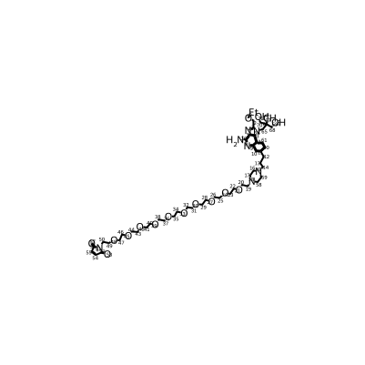 CCOCc1nc2c(N)nc3cc(CCCN4CCN(CCOCCOCCOCCOCCOCCOCCOCCOCCOCCOCCN5C(=O)C=CC5=O)CC4)ccc3c2n1CC(C)(CO)CO